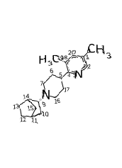 Cc1cnc(C2CCN([C@@H]3CC4CCC3C4)CC2)c(C)c1